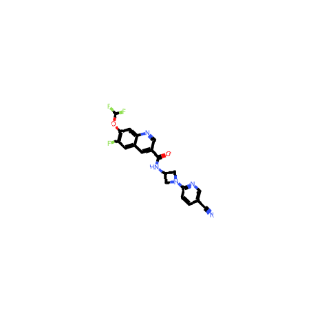 N#Cc1ccc(N2CC(NC(=O)c3cnc4cc(OC(F)F)c(F)cc4c3)C2)nc1